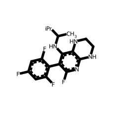 CC(C)C(C)Nc1c2c(nc(F)c1-c1c(F)cc(F)cc1F)NCCN2